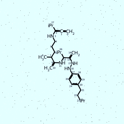 C=C=C(NCCCC(C)C(=C)NC(C(=C)NNc1ccc(CCC(C)C)cc1)C(C)C)C(C)C